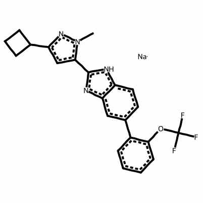 Cn1nc(C2CCC2)cc1-c1nc2cc(-c3ccccc3OC(F)(F)F)ccc2[nH]1.[Na]